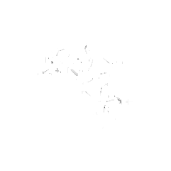 COc1ccc2c(c1)C(=O)N(C[C@@]1(C#Cc3ccc(C(=NO)N4CCC4)cc3)NC(=O)NC1=O)C2